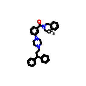 O=C(c1cccc(N2CCN(CCC(c3ccccc3)c3ccccc3)CC2)c1)N(Cc1ccccc1)CC(F)(F)F